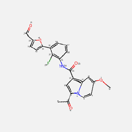 COc1ccn2c(C(C)=O)cc(C(=O)Nc3cccc(-c4ccc(C=O)o4)c3F)c2c1